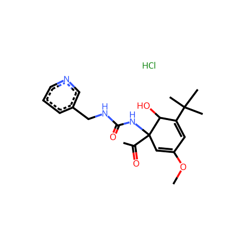 COC1=CC(NC(=O)NCc2cccnc2)(C(C)=O)C(O)C(C(C)(C)C)=C1.Cl